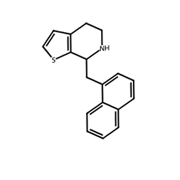 c1ccc2c(CC3NCCc4ccsc43)cccc2c1